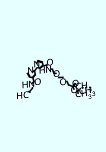 C#CCNC(=O)c1ccnc(-c2cc(C(=O)NCCOCCOCCC(=O)OC(C)(C)C)ccn2)c1